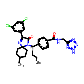 CC1CCC2(CC1)N=C(c1cc(Cl)cc(Cl)c1)C(=O)N2[C@H](CCC(C)(C)C)c1ccc(C(=O)NCc2nn[nH]n2)cc1